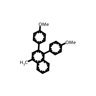 COc1ccc(-c2[c]c(C)c3ccccc3c2-c2ccc(OC)cc2)cc1